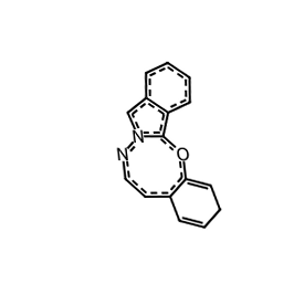 C1=Cc2ccnn3cc4ccccc4c3oc2=CC1